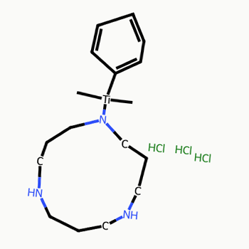 Cl.Cl.Cl.[CH3][Ti]([CH3])([c]1ccccc1)[N]1CCCNCCCNCCC1